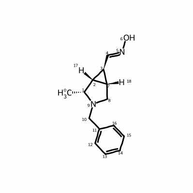 C[C@@H]1[C@@H]2[C@@H](/C=N/O)[C@@H]2CN1Cc1ccccc1